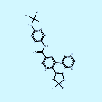 O=C(Nc1ccc(OC(F)(F)F)cc1)c1cnc(N2CCC(F)(F)C2)c(-c2cncnc2)c1